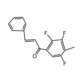 Cc1c(F)cc(C(=O)C=Cc2ccccc2)c(F)c1F